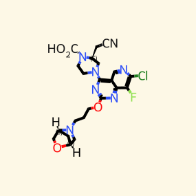 N#CC[C@H]1CN(c2nc(OCCCN3C[C@@H]4C[C@H]3CO4)nc3c(F)c(Cl)ncc23)CCN1C(=O)O